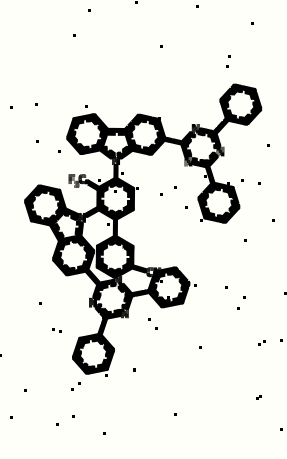 N#Cc1cccc(-c2ccc(-n3c4ccccc4c4ccc(-c5nc(-c6ccccc6)nc(-c6ccccc6)n5)cc43)c(C(F)(F)F)c2-n2c3ccccc3c3ccc(-c4nc(-c5ccccc5)nc(-c5ccccc5)n4)cc32)c1